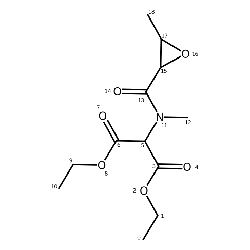 CCOC(=O)C(C(=O)OCC)N(C)C(=O)C1OC1C